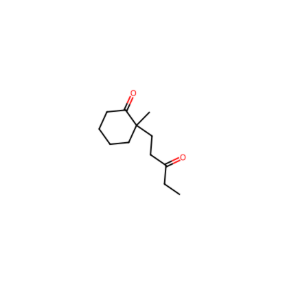 CCC(=O)CCC1(C)CCCCC1=O